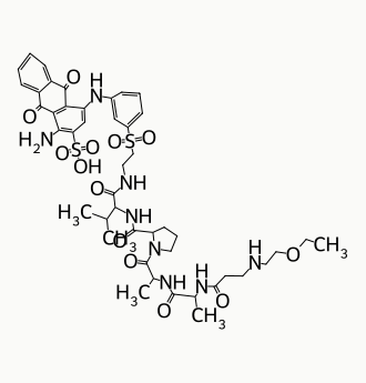 CCOCCNCCC(=O)NC(C)C(=O)NC(C)C(=O)N1CCCC1C(=O)NC(C(=O)NCCS(=O)(=O)c1cccc(Nc2cc(S(=O)(=O)O)c(N)c3c2C(=O)c2ccccc2C3=O)c1)C(C)C